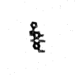 COc1ccc(Nc2nc(F)nc3c2ncn3C2CCCO2)c(OC)c1